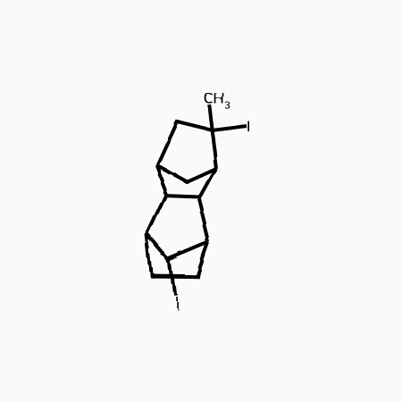 CC1(I)CC2CC1C1C3CCC(C3I)C21